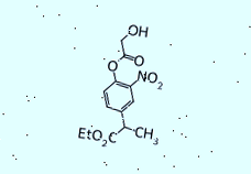 CCOC(=O)C(C)c1ccc(OC(=O)CO)c([N+](=O)[O-])c1